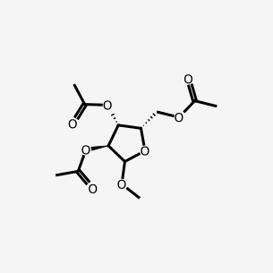 COC1O[C@@H](COC(C)=O)[C@@H](OC(C)=O)[C@@H]1OC(C)=O